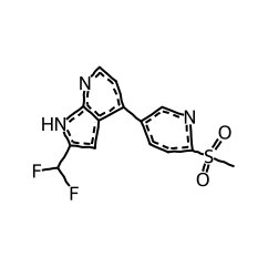 CS(=O)(=O)c1ccc(-c2ccnc3[nH]c(C(F)F)cc23)cn1